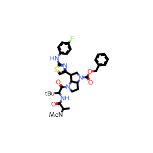 CNC(C)C(=O)NC(C(=O)N1CCC2C1C(c1csc(Nc3ccc(F)cc3)n1)CN2C(=O)OCc1ccccc1)C(C)(C)C